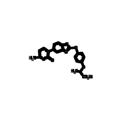 CCOC(=O)C(C)Oc1ccc(Oc2nc3ccc(-n4ccc(N)nc4=O)cc3o2)cc1